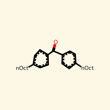 CCCCCCCCc1ccc(C(=O)c2ccc(CCCCCCCC)cc2)cc1